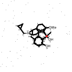 COC12CCC3(CC1C(C)(O)C(C)(C)C)C1[N@](CC4CC4)[C@@]14Cc1ccc(O)c5c1C3(C4)C2O5